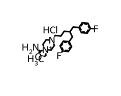 CC[N+]1(C(N)=O)CCN(CCCC(Cc2ccc(F)cc2)Cc2ccc(F)cc2)CC1.Cl